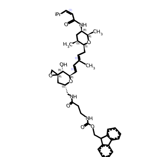 CC(/C=C/[C@H]1O[C@H](CNC(=O)CCNC(=O)OCC2c3ccccc3-c3ccccc32)C[C@@]2(CO2)[C@@H]1O)=C\C[C@@H]1O[C@H](C)[C@H](NC(=O)/C=C\C(C)C)C[C@@H]1C